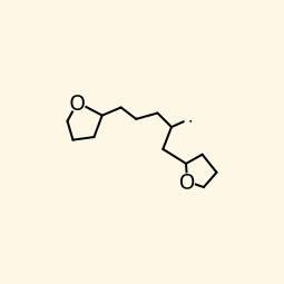 [CH2]C(CCCC1CCCO1)CC1CCCO1